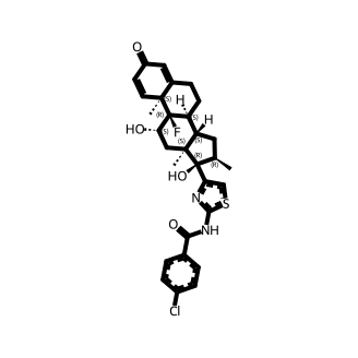 C[C@@H]1C[C@H]2[C@@H]3CCC4=CC(=O)C=C[C@]4(C)[C@@]3(F)[C@@H](O)C[C@]2(C)[C@@]1(O)c1csc(NC(=O)c2ccc(Cl)cc2)n1